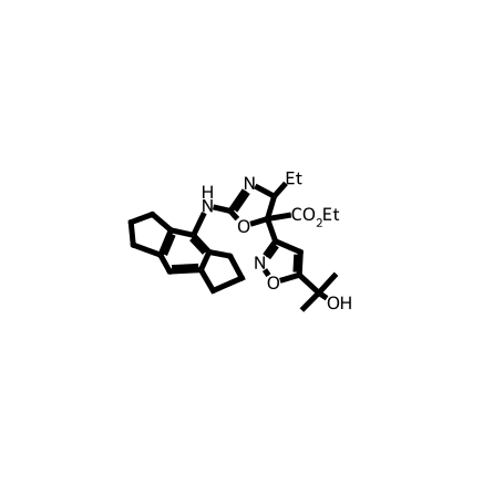 CCOC(=O)C1(c2cc(C(C)(C)O)on2)OC(Nc2c3c(cc4c2CCC4)CCC3)=NC1CC